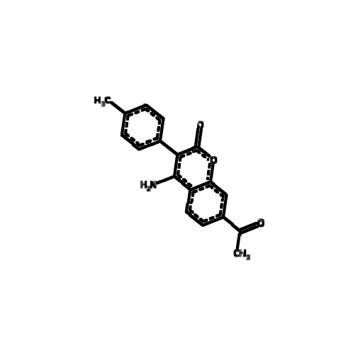 CC(=O)c1ccc2c(N)c(-c3ccc(C)cc3)c(=O)oc2c1